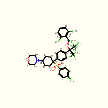 O=S(=O)(c1ccc(F)cc1)C1(c2ccc(C(OCc3c(F)cccc3F)(C(F)(F)F)C(F)(F)F)cc2)CCC(N2CCOCC2)CC1